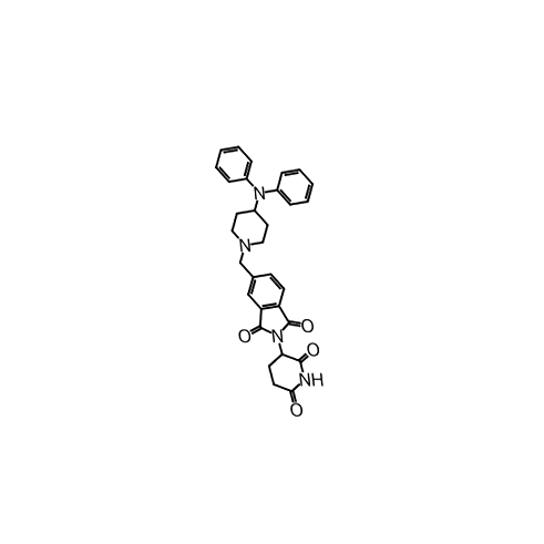 O=C1CCC(N2C(=O)c3ccc(CN4CCC(N(c5ccccc5)c5ccccc5)CC4)cc3C2=O)C(=O)N1